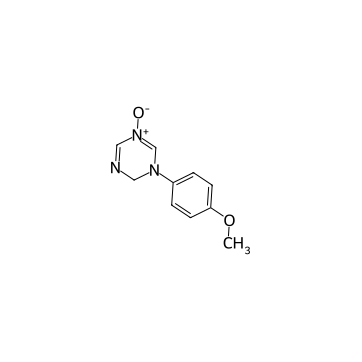 COc1ccc(N2C=[N+]([O-])C=NC2)cc1